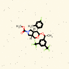 COC(=O)N1C[C@H]2CO[C@H](O[C@H](C)c3cc(C(F)(F)F)cc(C(F)(F)F)c3)[C@@H](c3ccc(F)cc3C)[C@@H]2C1